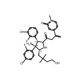 C=C(CC(=O)C1N[C@@H](CC(C)(C)CCO)[C@](N)(c2ccc(Cl)cc2F)[C@H]1c1cccc(Cl)c1F)c1ccn(C)c(=O)c1